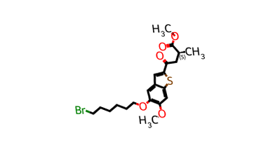 COC(=O)[C@@H](C)CC(=O)c1cc2cc(OCCCCCCBr)c(OC)cc2s1